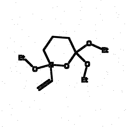 C=C[Si]1(OCC)CCCC(OCC)(OCC)O1